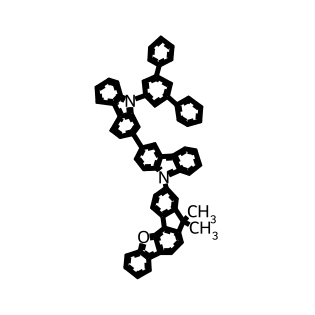 CC1(C)c2cc(-n3c4ccccc4c4cc(-c5ccc6c7ccccc7n(-c7cc(-c8ccccc8)cc(-c8ccccc8)c7)c6c5)ccc43)ccc2-c2c1ccc1c2oc2ccccc21